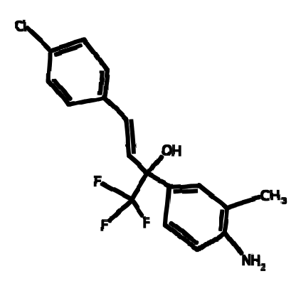 Cc1cc(C(O)(/C=C/c2ccc(Cl)cc2)C(F)(F)F)ccc1N